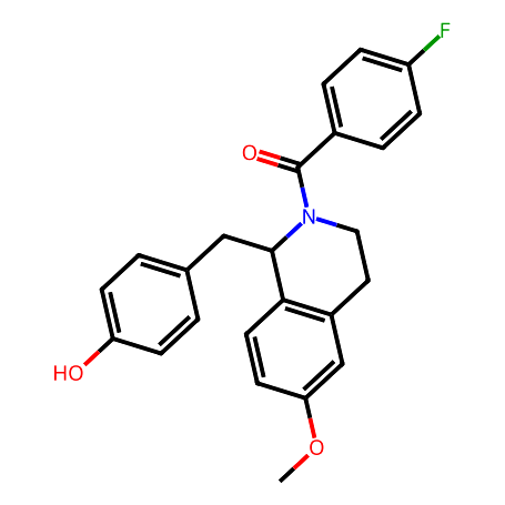 COc1ccc2c(c1)CCN(C(=O)c1ccc(F)cc1)C2Cc1ccc(O)cc1